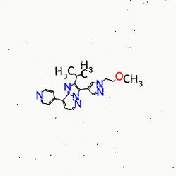 COCCn1cc(-c2c(C(C)C)nc3c(-c4ccncc4)ccnn23)cn1